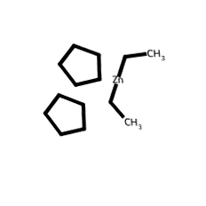 C1CCCC1.C1CCCC1.C[CH2][Zn][CH2]C